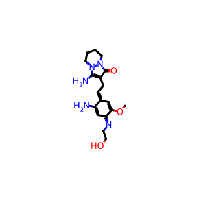 COC1=CC(=C\Cc2c(N)n3n(c2=O)CCCC3)/C(N)=CC/1=N\CCO